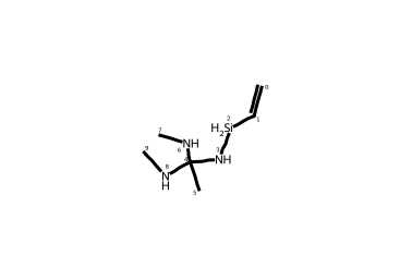 C=C[SiH2]NC(C)(NC)NC